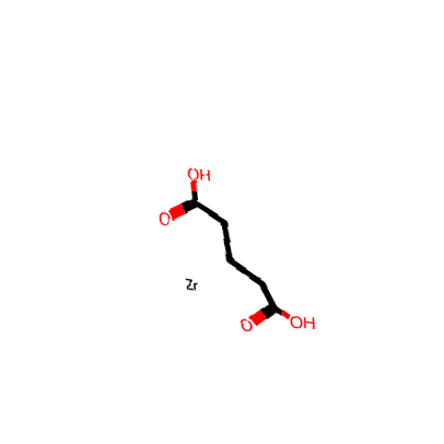 O=C(O)CCCC(=O)O.[Zr]